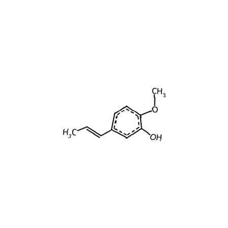 CC=Cc1ccc(OC)c(O)c1